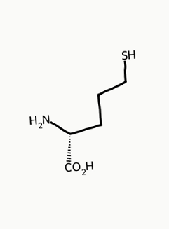 N[C@H](CCCS)C(=O)O